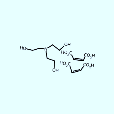 O=C(O)/C=C\C(=O)O.O=C(O)/C=C\C(=O)O.OCCN(CCO)CCO